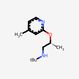 Cc1ccnc(O[C@H](C)CNC(C)(C)C)c1